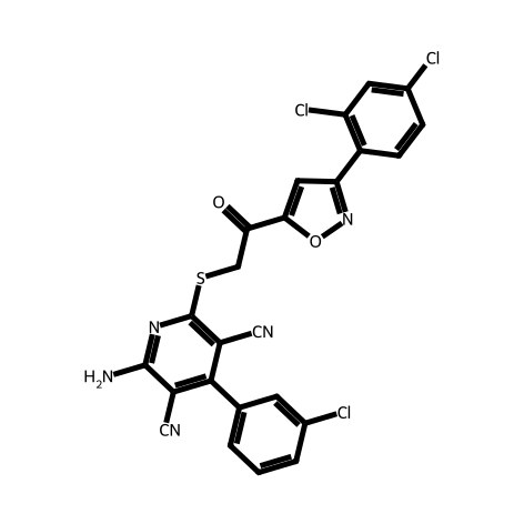 N#Cc1c(N)nc(SCC(=O)c2cc(-c3ccc(Cl)cc3Cl)no2)c(C#N)c1-c1cccc(Cl)c1